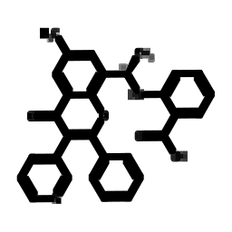 Cc1cc([C@@H](C)Nc2ccccc2C(=O)O)c2oc(-c3ccccc3)c(-c3cccnc3)c(=O)c2c1